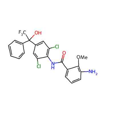 COc1c(N)cccc1C(=O)Nc1c(Cl)cc(C(O)(c2ccccc2)C(F)(F)F)cc1Cl